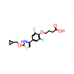 O=C(O)CCCOc1c(F)cc(C2=CSC(OCC3CC3)N2)cc1F